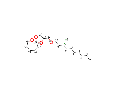 CCCCCCCC(F)CCOCC1COC2(CCCCCO2)O1